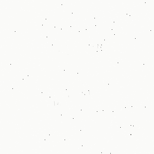 CC(C)(C)OC(=O)Nc1ccc2c(c1)CC1(CC1)C2CC#N